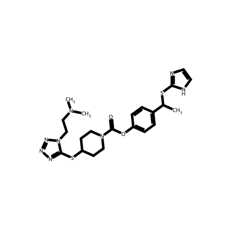 CC(Sc1ncc[nH]1)c1ccc(OC(=O)N2CCC(Sc3nnnn3CCN(C)C)CC2)cc1